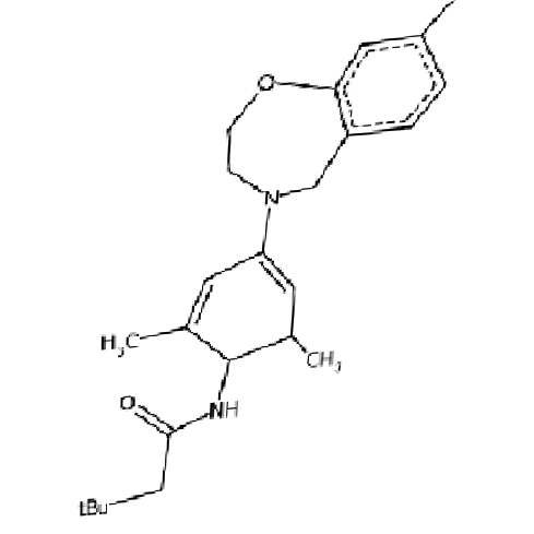 CC1=CC(N2CCOc3cc(F)ccc3C2)=CC(C)C1NC(=O)CC(C)(C)C